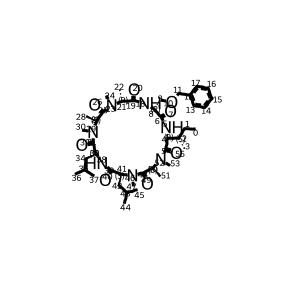 CC[C@H](C)[C@H]1NC(=O)[C@@H](COCc2ccccc2)NC(=O)[C@@H](C)N(C)C(=O)[C@H](C)N(C)C(=O)[C@H](CC(C)C)NC(=O)[C@H](CC(C)C)N(C)C(=O)[C@H](C)N(C)C1=O